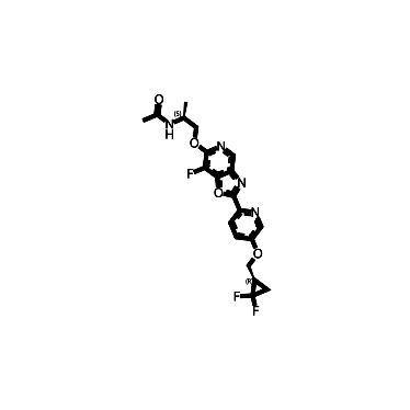 CC(=O)N[C@@H](C)COc1ncc2nc(-c3ccc(OC[C@H]4CC4(F)F)cn3)oc2c1F